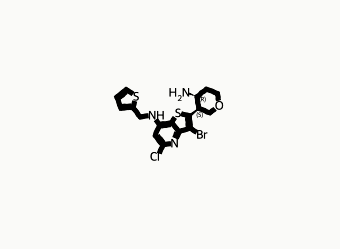 N[C@@H]1CCOC[C@H]1c1sc2c(NCc3cccs3)cc(Cl)nc2c1Br